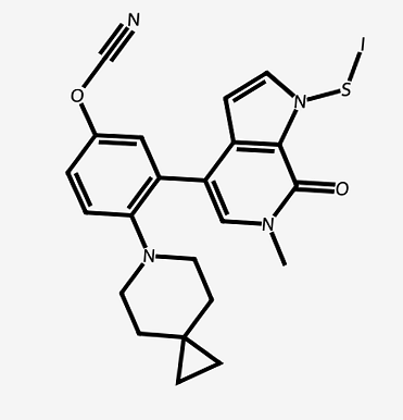 Cn1cc(-c2cc(OC#N)ccc2N2CCC3(CC2)CC3)c2ccn(SI)c2c1=O